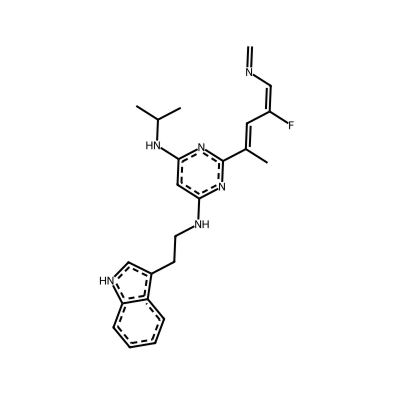 C=N/C=C(F)\C=C(/C)c1nc(NCCc2c[nH]c3ccccc23)cc(NC(C)C)n1